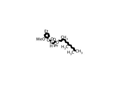 CCc1ccc(OC(=O)N[C@H](C(=O)OC/C=C(\C)CC/C=C(\C)CCC=C(C)C)C(C)C)c(OC)c1